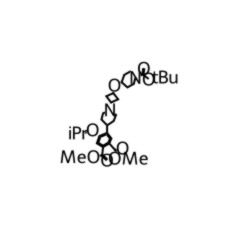 COC(=O)c1cc(OC(C)C)c(C2CCN([C@H]3C[C@H](OC4CCN(C(=O)OC(C)(C)C)CC4)C3)CC2)cc1C(=O)OC